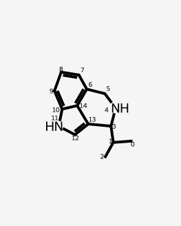 CC(C)C1NCc2cccc3[nH]cc1c23